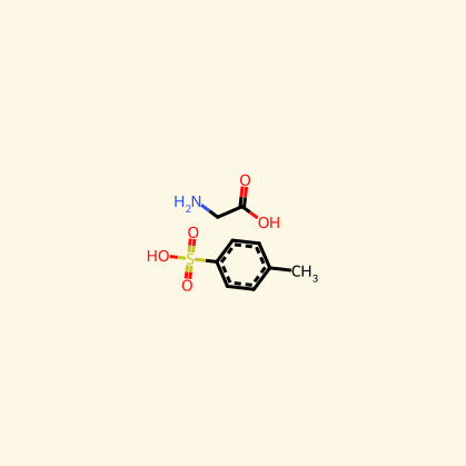 Cc1ccc(S(=O)(=O)O)cc1.NCC(=O)O